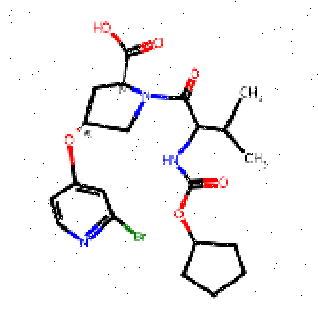 CC(C)C(NC(=O)OC1CCCC1)C(=O)N1C[C@H](Oc2ccnc(Br)c2)C[C@H]1C(=O)O